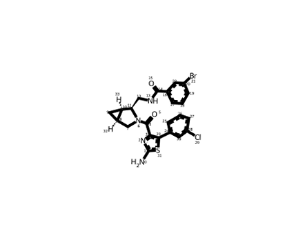 Nc1nc(C(=O)N2C[C@H]3C[C@H]3[C@H]2CNC(=O)c2cccc(Br)c2)c(-c2cccc(Cl)c2)s1